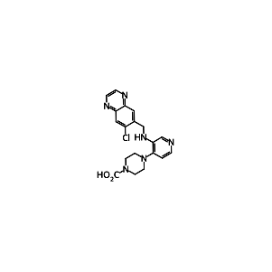 O=C(O)N1CCN(c2ccncc2NCc2cc3nccnc3cc2Cl)CC1